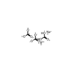 O=C(O)O.O=C([O-])[O-].O=C([O-])[O-].[B+3].[Na+]